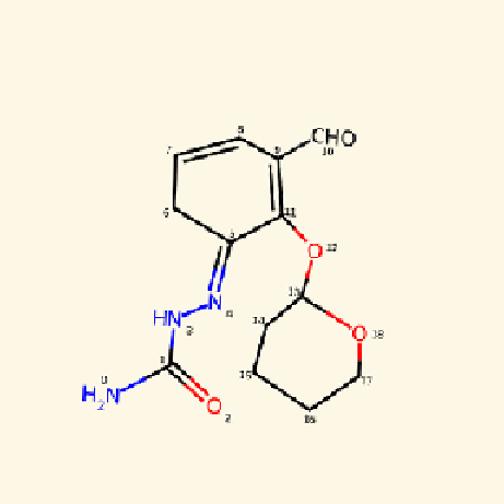 NC(=O)NN=C1CC=CC(C=O)=C1OC1CCCCO1